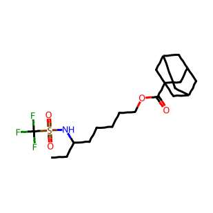 CCC(CCCCCOC(=O)C12CC3CC(CC(C3)C1)C2)NS(=O)(=O)C(F)(F)F